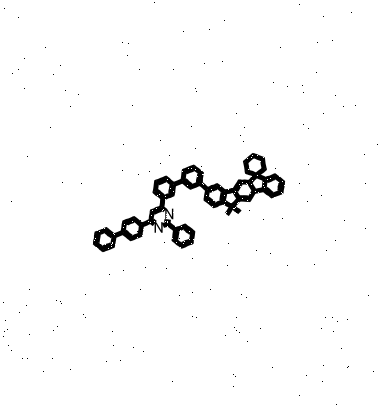 CC1(C)C2=CC3c4ccccc4C4(CCCCC4)C3C=C2c2cc(-c3cccc(-c4cccc(-c5cc(C6C=CC(c7ccccc7)=CC6)nc(-c6ccccc6)n5)c4)c3)ccc21